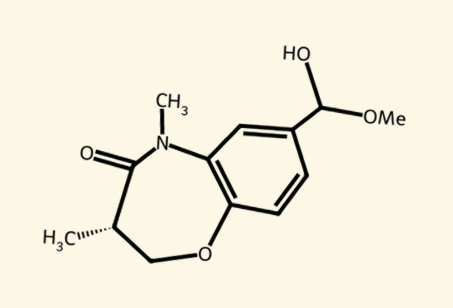 COC(O)c1ccc2c(c1)N(C)C(=O)[C@@H](C)CO2